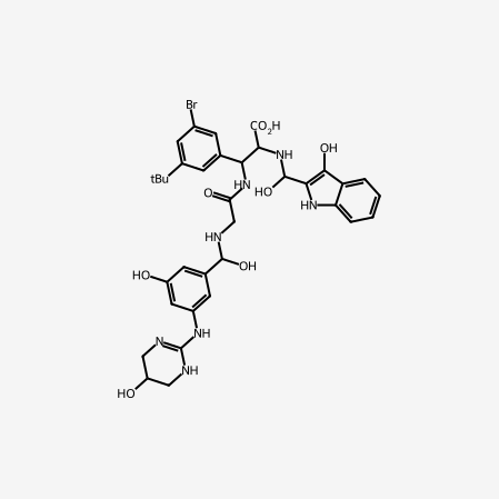 CC(C)(C)c1cc(Br)cc(C(NC(=O)CNC(O)c2cc(O)cc(NC3=NCC(O)CN3)c2)C(NC(O)c2[nH]c3ccccc3c2O)C(=O)O)c1